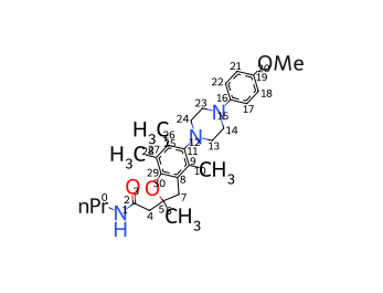 CCCNC(=O)CC1(C)Cc2c(C)c(N3CCN(c4ccc(OC)cc4)CC3)c(C)c(C)c2O1